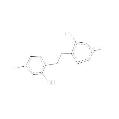 Nc1cc(Cl)ccc1CCc1ccc(Cl)cc1N